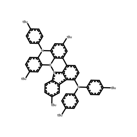 CC(C)(C)c1ccc(N2c3ccc(C(C)(C)C)cc3B3c4c(cc(C(C)(C)C)cc42)-c2ccc(N(c4ccc(C(C)(C)C)cc4)c4ccc(C(C)(C)C)cc4)c4c5cc(C(C)(C)C)ccc5n3c24)cc1